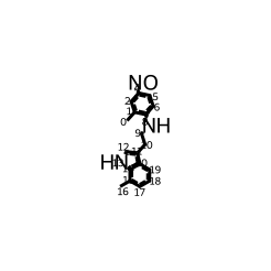 Cc1cc(N=O)ccc1NCCc1c[nH]c2c(C)cccc12